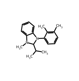 Cc1cccc(N2c3ccccc3N(C)C2C(C)C)c1C